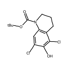 CC(C)(C)OC(=O)N1CCCc2c1cc(Cl)c(O)c2Cl